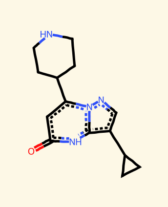 O=c1cc(C2CCNCC2)n2ncc(C3CC3)c2[nH]1